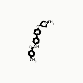 Cc1ccc(C(=O)Nc2ccc(-c3ccc(OC4CCN(C)CC4)cc3)cc2)cc1